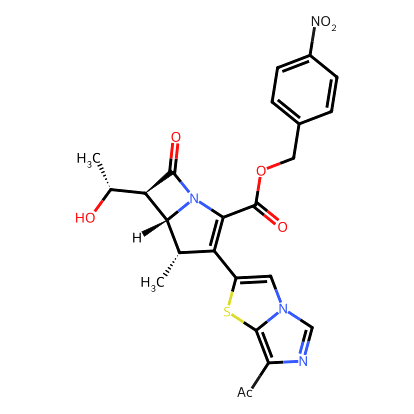 CC(=O)c1ncn2cc(C3=C(C(=O)OCc4ccc([N+](=O)[O-])cc4)N4C(=O)[C@H]([C@@H](C)O)[C@H]4[C@H]3C)sc12